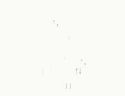 CC(C)c1nnc(COc2cccc3cccnc23)o1